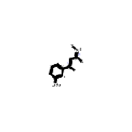 CCC(C)c1cccc(/C(C)=C/C(C)=N\C)c1